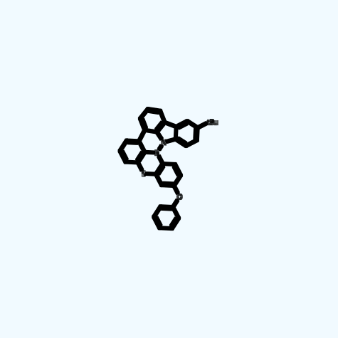 CC(C)(C)c1ccc2c(c1)c1cccc3c1n2B1c2ccc(Oc4ccccc4)cc2Sc2cccc-3c21